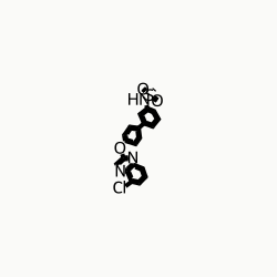 CS(=O)(=O)Nc1cccc(-c2ccc(Oc3cnc4c(Cl)cccc4n3)cc2)c1